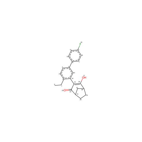 CCc1ccc(-c2ccc(F)cc2)cc1C1=C(O)C2CCC(C2)C1=O